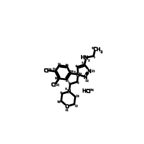 CCNC1=C[N+](CCN2CCOCC2)(c2ccc(Cl)c(Cl)c2)N=N1.Cl